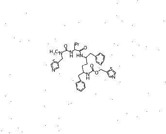 CC(C)C(NC(=O)N(C)Cc1cncs1)C(=O)NC(CCC(Cc1ccccc1)NC(=O)OCc1cncs1)Cc1ccccc1